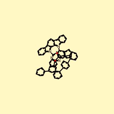 c1ccc(-c2ccc(-c3ccccc3-c3cc(-c4ccccc4)cc(-n4c5ccccc5c5ccc6c7ccccc7n(-c7nc(-c8ccccc8)nc(-c8cccc(-c9ccccc9)c8)n7)c6c54)c3)cc2)cc1